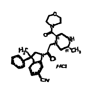 C[C@@H]1CN(CC(=O)N2CC(C)(c3ccccc3)c3ccc(C#N)cc32)[C@@H](C(=O)N2CCOCC2)CN1.Cl